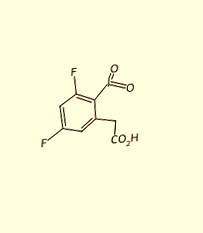 O=C(O)Cc1cc(F)cc(F)c1I(=O)=O